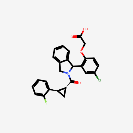 O=C(O)COc1ccc(Cl)cc1C1c2ccccc2CN1C(=O)[C@@H]1C[C@H]1c1ccccc1F